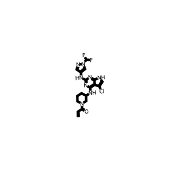 C=CC(=O)N1CCCC(Nc2nc(Nc3cnn(C(F)F)c3)nc3[nH]cc(Cl)c23)C1